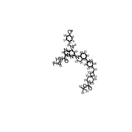 COc1ccc(CN(C)c2cc(N3CCc4c(-c5ccc(CC6CC7(CCN(C(=O)OC(C)(C)C)CC7)C6)cn5)cccc43)nn3c(C(=O)N[C@@H]4C[C@@H]4F)cnc23)cc1